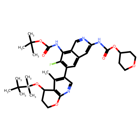 Cc1c(-c2cc3cc(NC(=O)OC4CCOCC4)ncc3c(NC(=O)OC(C)(C)C)c2F)cnc2c1C(O[Si](C)(C)C(C)(C)C)CCO2